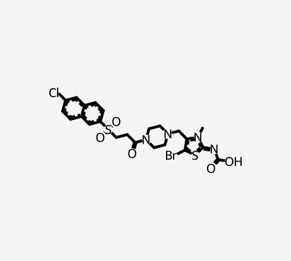 Cn1c(CN2CCN(C(=O)CCS(=O)(=O)c3ccc4cc(Cl)ccc4c3)CC2)c(Br)s/c1=N\C(=O)O